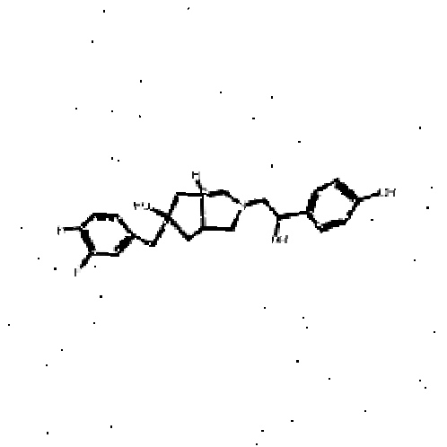 Oc1ccc(C(O)CN2CC3CC(O)(Cc4ccc(F)c(F)c4)C[C@@H]3C2)cc1